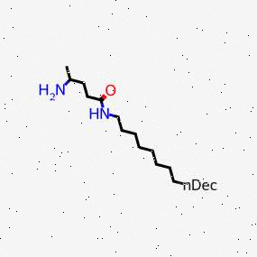 CCCCCCCCCCCCCCCCCCNC(=O)CCC(C)N